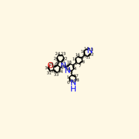 C1=CC(c2cc(-c3ccc(-c4ccncc4)cc3)cc(-n3c4ccccc4c4c5occc5ccc43)n2)=CCN1